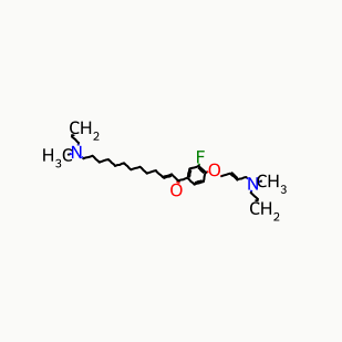 C=CCN(C)CC=CCOc1ccc(C(=O)C=CCCCCCCCCCCN(C)CC=C)cc1F